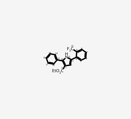 CCOC(=O)c1cc(-c2ccccc2C(F)(F)F)[nH]c1-c1ccccc1